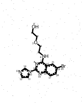 OCCOCCNc1nc(-n2ccnc2)nc2ccc(Br)cc12